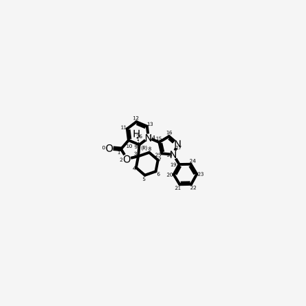 O=C1OC2(CCCCC2)[C@H]2C1=CC=CN2c1cnn(-c2ccccc2)c1